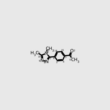 CC(=O)c1ccc(-c2nnc(C)n2C)cc1